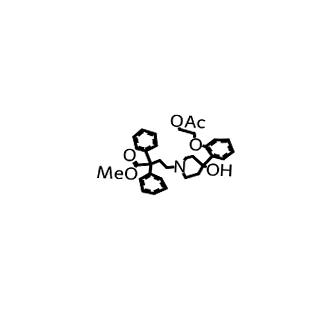 COC(=O)C(CCN1CCC(O)(c2ccccc2OCCOC(C)=O)CC1)(c1ccccc1)c1ccccc1